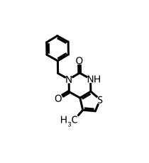 Cc1csc2[nH]c(=O)n(Cc3ccccc3)c(=O)c12